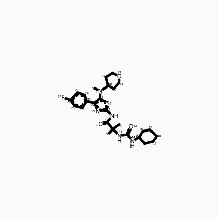 CN(c1sc(NC(=O)C(C)(C)NC(=O)NC2CCCCC2)nc1-c1ccc(F)cc1)C1CCOCC1